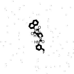 O=C1[C@@H]2C3CC(CN3C(=O)Nc3cccc(CF)c3)N2C(=O)N1c1cccc2ccccc12